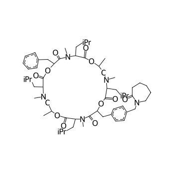 CC(C)CC1C(=O)OC(Cc2ccc(CN3CCCCCC3=O)cc2)C(=O)N(C)C(CC(C)C)C(=O)OC(C)CN(C)C(CC(C)C)C(=O)OC(Cc2ccccc2)C(=O)N(C)C(CC(C)C)C(=O)OC(C)CN1C